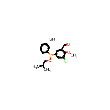 COc1c(Cl)cc(P(OCC(C)C)c2ccccc2)cc1C=O.[LiH]